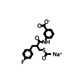 CC(=O)SCC(Cc1ccc(F)cc1)C(=O)Nc1cccc(C(=O)[O-])c1.[Na+]